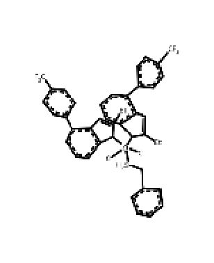 CCC1=Cc2c(-c3ccc(C(F)(F)F)cc3)cccc2[CH]1[Zr]([Cl])([Cl])([SiH2]Cc1ccccc1)[CH]1C(CC)=Cc2c(-c3ccc(C(F)(F)F)cc3)cccc21